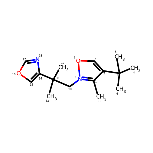 Cc1c(C(C)(C)C)co[n+]1CC(C)(C)c1cocn1